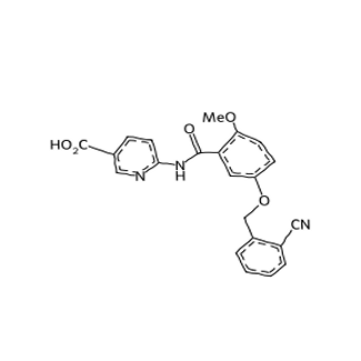 COc1ccc(OCc2ccccc2C#N)cc1C(=O)Nc1ccc(C(=O)O)cn1